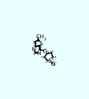 Cc1cc2ncnc(OC3CC[S+]([O-])CC3)c2s1